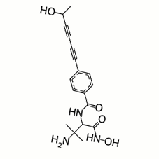 CC(O)C#CC#Cc1ccc(C(=O)NC(C(=O)NO)C(C)(C)N)cc1